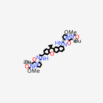 CC[C@H](C)[C@H](NC(=O)OC)C(=O)N1CCC[C@H]1c1ncc(-c2ccc3c(c2)Oc2cc4ccc5nc([C@@H]6CCCN6C(=O)[C@@H](NC(=O)OC)[C@@H](C)CC)[nH]c5c4cc2C32CC2)[nH]1